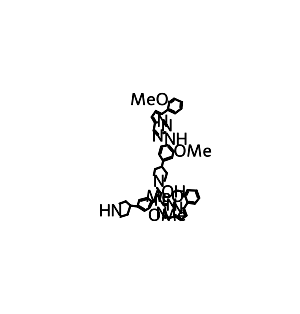 COc1cc(C2CCN(CC(O)N(c3ncc4ccc(-c5ccccc5OC)n4n3)c3ccc(C4CCNCC4)cc3OC)CC2)ccc1Nc1ncc2ccc(-c3ccccc3OC)n2n1